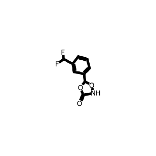 O=C1NOC(c2cccc(C(F)F)c2)O1